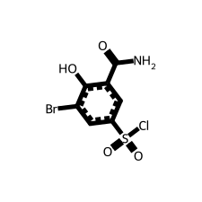 NC(=O)c1cc(S(=O)(=O)Cl)cc(Br)c1O